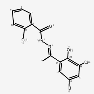 C/C(=N\NC(=O)c1ccccc1O)c1cc(Cl)cc(Cl)c1O